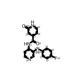 O=C(Nc1ccncc1Nc1ccc(F)cc1)c1cc[nH]c(=O)c1